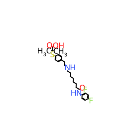 CC(C)(Sc1ccc(CCNCCCCCCCC(=O)Nc2ccc(F)cc2F)cc1)C(=O)O